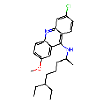 CCC(CC)CCCC(C)Nc1c2ccc(Cl)cc2nc2ccc(OC)cc12